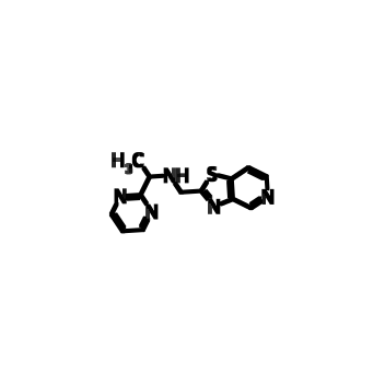 CC(NCc1nc2cnccc2s1)c1ncccn1